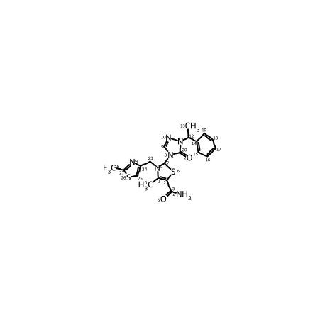 CC1=C(C(N)=O)SC(n2cnn(C(C)c3ccccc3)c2=O)N1Cc1csc(C(F)(F)F)n1